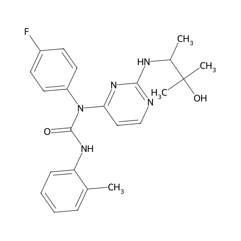 Cc1ccccc1NC(=O)N(c1ccc(F)cc1)c1ccnc(NC(C)C(C)(C)O)n1